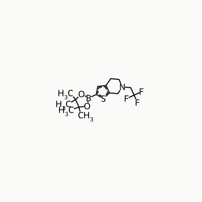 CC1(C)OB(c2cc3c(s2)CN(CC(F)(F)F)CC3)OC1(C)C